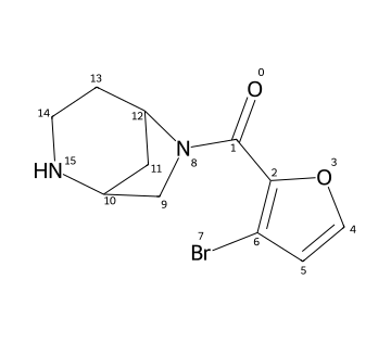 O=C(c1occc1Br)N1CC2CC1CCN2